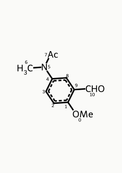 COc1ccc(N(C)C(C)=O)cc1C=O